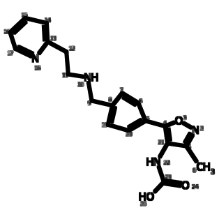 Cc1noc(-c2ccc(CNCCc3ccccn3)cc2)c1NC(=O)O